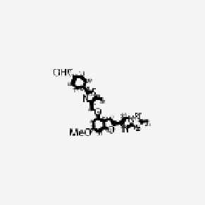 COc1cc(OCc2nc(-c3ccc(C=O)cc3)sc2C)c2cc(-c3cn4nc(C)sc4n3)oc2c1